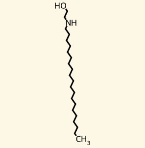 CCCCCCCCCCCCCCCCCCCCNCCO